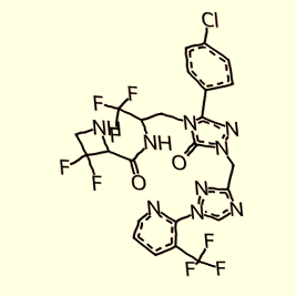 O=C(NC(Cn1c(-c2ccc(Cl)cc2)nn(Cc2ncn(-c3ncccc3C(F)(F)F)n2)c1=O)C(F)(F)F)C1NCC1(F)F